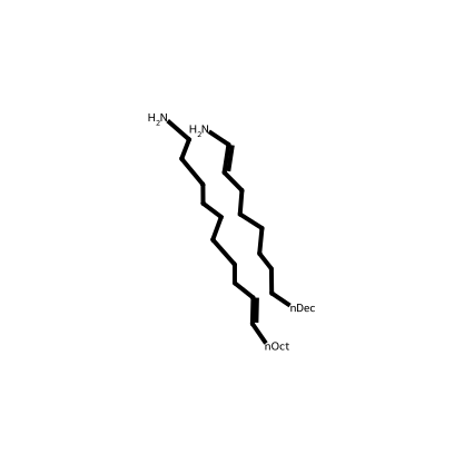 CCCCCCCCC=CCCCCCCCCN.CCCCCCCCCCCCCCCCC=CN